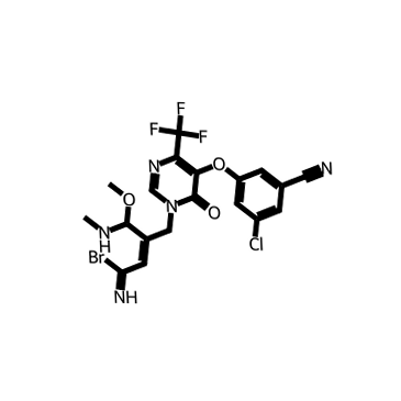 CNC(OC)/C(=C\C(=N)Br)Cn1cnc(C(F)(F)F)c(Oc2cc(Cl)cc(C#N)c2)c1=O